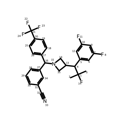 CC(C)(F)C(c1cc(F)cc(F)c1)C1CN(C(c2ccc(C(F)(F)F)cc2)c2cccc(C#N)c2)C1